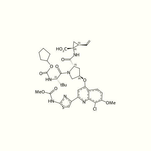 C=C[C@@H]1C[C@]1(NC(=O)[C@@H]1C[C@@H](Oc2cc(-c3csc(NC(=O)OC)n3)nc3c(Cl)c(OC)ccc23)CN1C(=O)[C@@H](NC(=O)OC1CCCC1)C(C)(C)C)C(=O)O